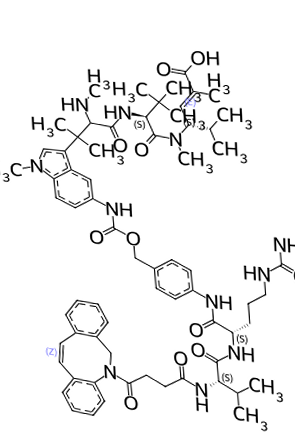 CNC(C(=O)N[C@H](C(=O)N(C)[C@H](/C=C(\C)C(=O)O)C(C)C)C(C)(C)C)C(C)(C)c1cn(C)c2ccc(NC(=O)OCc3ccc(NC(=O)[C@H](CCCNC(N)=O)NC(=O)[C@@H](NC(=O)CCC(=O)N4Cc5ccccc5/C=C\c5ccccc54)C(C)C)cc3)cc12